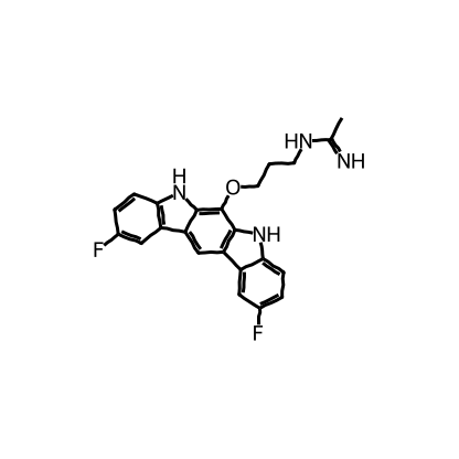 CC(=N)NCCCOc1c2[nH]c3ccc(F)cc3c2cc2c1[nH]c1ccc(F)cc12